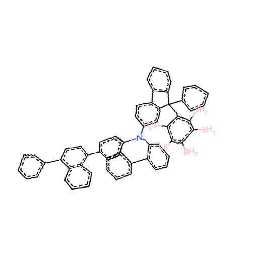 Bc1c(B)c(B)c(C2(c3ccccc3)c3ccccc3-c3ccc(N(c4ccc(-c5ccc(-c6ccccc6)c6ccccc56)cc4)c4ccccc4-c4ccccc4)cc32)c(B)c1B